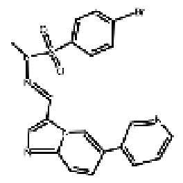 CN(N=Cc1cnc2ccc(-c3cccnc3)cn12)S(=O)(=O)c1ccc(Br)cc1